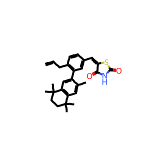 C=CCc1ccc(C=C2SC(=O)NC2=O)cc1-c1cc2c(cc1C)C(C)(C)CCC2(C)C